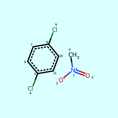 C[N+](=O)[O-].Clc1ccc(Cl)cc1